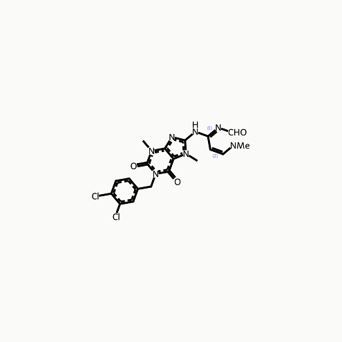 CN/C=C\C(=N/C=O)Nc1nc2c(c(=O)n(Cc3ccc(Cl)c(Cl)c3)c(=O)n2C)n1C